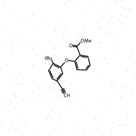 C#Cc1ccc(C(C)(C)C)c(Oc2ccccc2C(=O)OC)c1